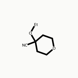 [CH2]COC1(C#N)CCOCC1